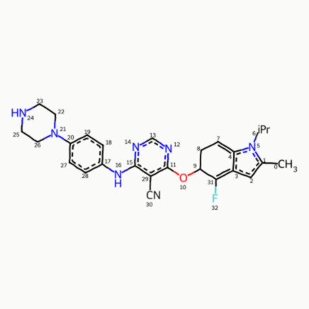 Cc1cc2c(n1C(C)C)=CCC(Oc1ncnc(Nc3ccc(N4CCNCC4)cc3)c1C#N)C=2F